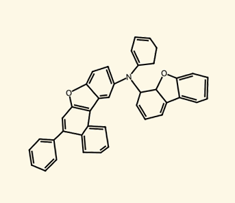 C1=CCCC(N(c2ccc3oc4cc(-c5ccccc5)c5ccccc5c4c3c2)C2C=CC=C3c4ccccc4OC32)=C1